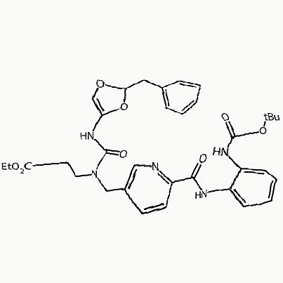 CCOC(=O)CCN(Cc1ccc(C(=O)Nc2ccccc2NC(=O)OC(C)(C)C)nc1)C(=O)NC1=COC(Cc2ccccc2)O1